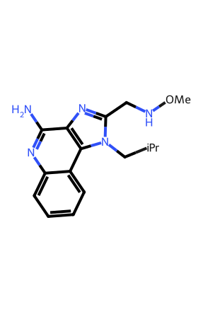 CONCc1nc2c(N)nc3ccccc3c2n1CC(C)C